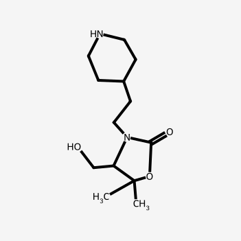 CC1(C)OC(=O)N(CCC2CCNCC2)C1CO